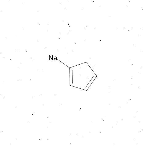 [Na][C]1=CC=CC1